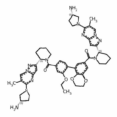 CCOc1cc(C(=O)N2CCCC[C@H]2c2cc3nc(N4CC[C@H](N)C4)c(C)cn3n2)ccc1-c1cc(C(=O)N2CCCC[C@H]2c2cc3nc(N4CC[C@H](N)C4)c(C)cn3n2)cc2c1OCCO2